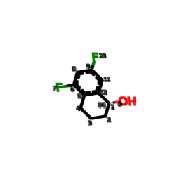 O[C@@H]1CCCc2c(F)cc(F)cc21